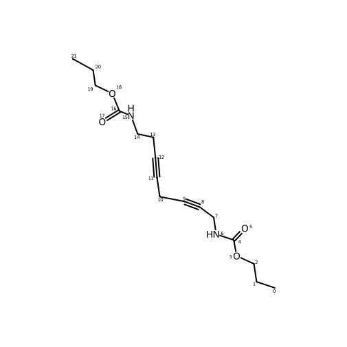 CCCOC(=O)NCC#CCC#CCCNC(=O)OCCC